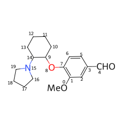 COc1cc(C=O)ccc1OC1CCCCC1N1CCCC1